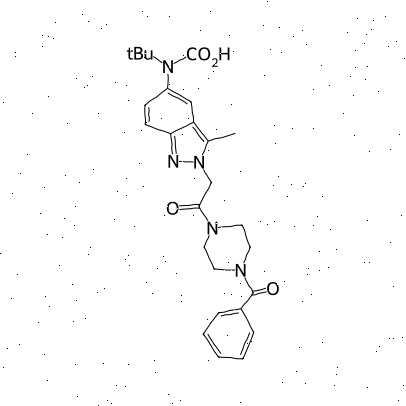 Cc1c2cc(N(C(=O)O)C(C)(C)C)ccc2nn1CC(=O)N1CCN(C(=O)c2ccccc2)CC1